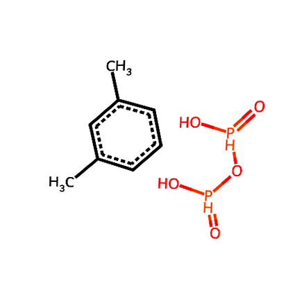 Cc1cccc(C)c1.O=[PH](O)O[PH](=O)O